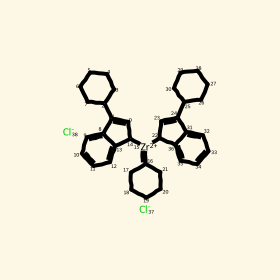 C1=C(C2CCCCC2)c2ccccc2[CH]1[Zr+2](=[C]1CCCCC1)[CH]1C=C(C2CCCCC2)c2ccccc21.[Cl-].[Cl-]